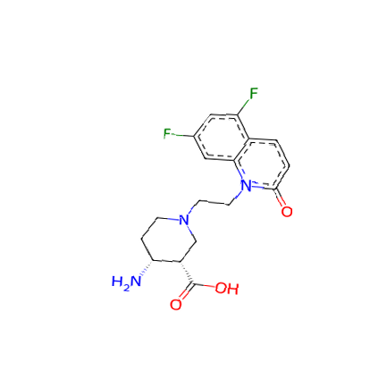 N[C@@H]1CCN(CCn2c(=O)ccc3c(F)cc(F)cc32)C[C@@H]1C(=O)O